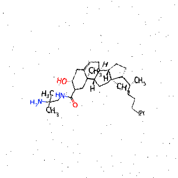 CC(C)CCC[C@@H](C)[C@H]1CC[C@H]2[C@@H]3CC=C4C[C@@H](O)C(C(=O)NCC(C)(C)N)C[C@]4(C)[C@H]3CC[C@]12C